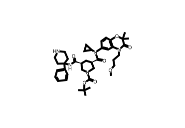 COCCCN1C(=O)C(C)(C)Oc2ccc(N(C(=O)[C@@H]3C[C@H](C(=O)NC4(c5ccccc5)CCNCC4)CN(C(=O)OC(C)(C)C)C3)C3CC3)cc21